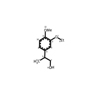 CCOc1cc([C](C)CO)ccc1OC